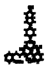 COc1ccccc1CCC1=C(C(=O)O)C(c2c(Cl)cccc2Cl)C(C(=O)O)=C(CC(=O)N2CCN(C3CC4CC(O)CC4C3)CC2)N1